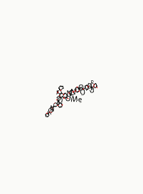 COc1cc2c3c(c4c(c2cc1N1CCN(c2ccc(OC(=O)c5ccc(OC(=O)c6ccccc6F)cc5)cc2)CC1)-c1ccccc1C4(C)C)C=CC(c1ccccc1)(c1ccc(N2CCN(c4ccccc4)CC2)cc1)O3